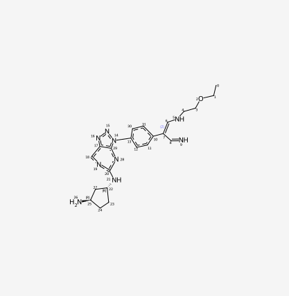 CCOCCN/C=C(\C=N)c1ccc(-n2nnc3cnc(N[C@@H]4CC[C@@H](N)C4)nc32)cc1